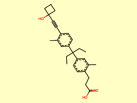 CCC(CC)(c1ccc(C#CC2(O)CCC2)c(C)c1)c1ccc(CCC(=O)O)c(C)c1